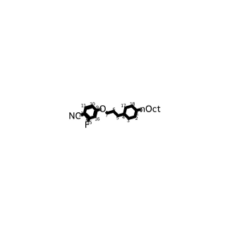 CCCCCCCCC1CCC(CCCOc2ccc(C#N)c(F)c2)CC1